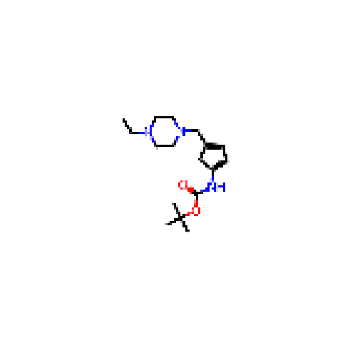 CCN1CCN(CC2=CC=C(NC(=O)OC(C)(C)C)C2)CC1